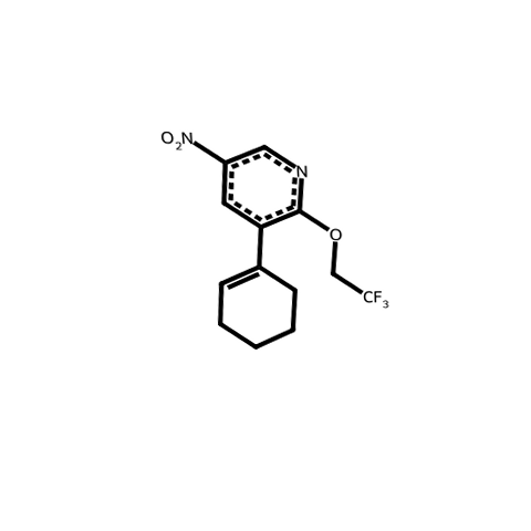 O=[N+]([O-])c1cnc(OCC(F)(F)F)c(C2=CCCCC2)c1